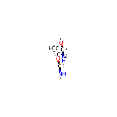 C.C.N=C=O.N=C=O